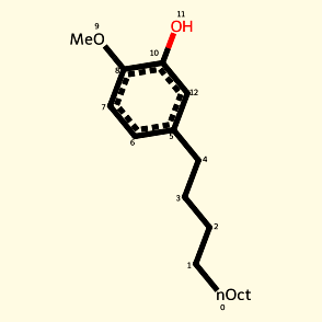 CCCCCCCCCCCCc1ccc(OC)c(O)c1